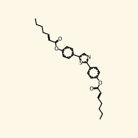 CCCCC=CC(=O)Oc1ccc(-c2cnc(-c3ccc(OC(=O)C=CCCCC)cc3)s2)cc1